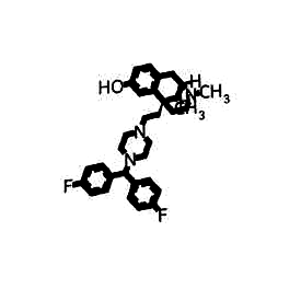 C[C@@H]1[C@@H]2Cc3ccc(O)cc3[C@@]1(CCN1CCN(C(c3ccc(F)cc3)c3ccc(F)cc3)CC1)CCN2C